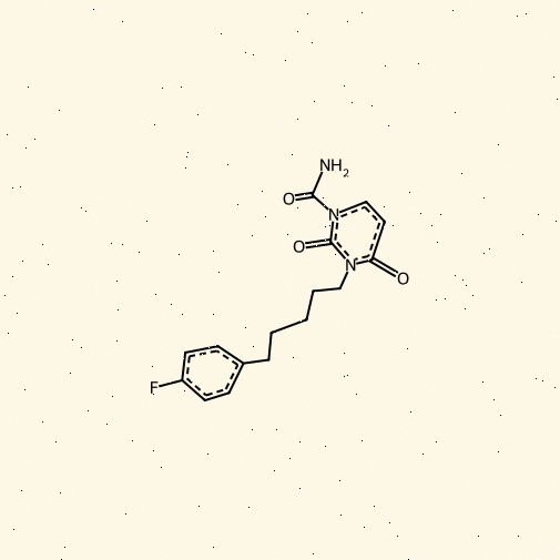 NC(=O)n1ccc(=O)n(CCCCCc2ccc(F)cc2)c1=O